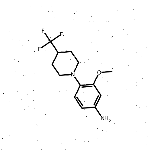 COc1cc(N)ccc1N1CCC(C(F)(F)F)CC1